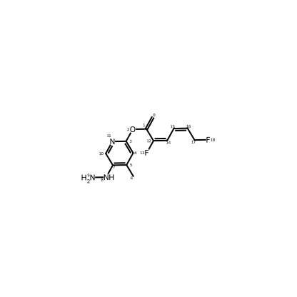 C=C(Oc1cc(C)c(NN)cn1)/C(F)=C\C=C/CF